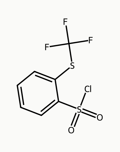 O=S(=O)(Cl)c1ccccc1SC(F)(F)F